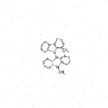 Cc1cccc2c1N(B1c3ccccc3-c3ccccc31)c1ccccc1N2C